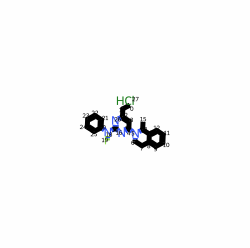 CCc1cc(N2CCc3ccccc3C2C)nc(N(F)c2ccccc2)n1.Cl